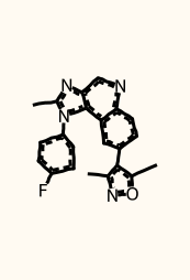 Cc1noc(C)c1-c1ccc2ncc3nc(C)n(-c4ccc(F)cc4)c3c2c1